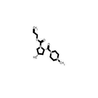 C=CCOC(=O)N1C[C@@H](S)C[C@H]1C(=O)N1CCN(C)CC1